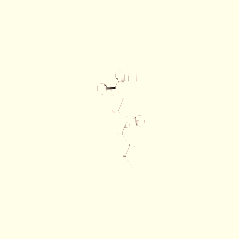 CCCC[S+]([O-])CCC(=O)O